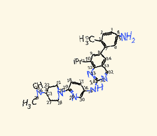 Cc1ccc(N)cc1-c1cc(C(C)C)c2nc(Nc3ccc(N4CCC(N(C)C)CC4)nc3)ncc2c1